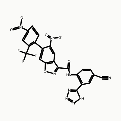 N#Cc1ccc(NC(=O)c2noc3cc(-c4ccc([N+](=O)[O-])cc4C(F)(F)F)c([N+](=O)[O-])cc23)c(-c2nnn[nH]2)c1